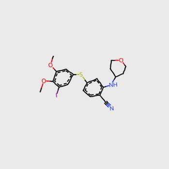 COc1cc(Sc2ccc(C#N)c(NC3CCOCC3)c2)cc(I)c1OC